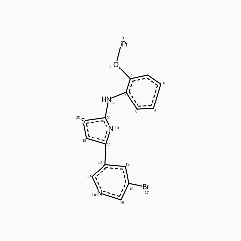 CC(C)Oc1ccccc1Nc1nc(-c2cncc(Br)c2)cs1